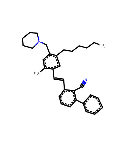 CCCCCCc1cc(/C=C/c2cccc(-c3ccccc3)c2C#N)c(C)cc1CN1CCCCC1